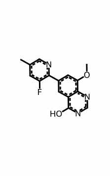 COc1cc(-c2ncc(C)cc2F)cc2c(O)ncnc12